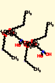 CCCCCCCC/C=C\CCCCCCCCOC(=O)C(C)(C)CC(OCCCCCCCC/C=C\CCCCCCCC)O[Si](C)(C)OCCCCCCN(CCO)CCO.CCCCCCCC/C=C\CCCCCCCCOC(=O)C(C)(C)CC(OCCCCCCCC/C=C\CCCCCCCC)O[Si](C)(C)OCCCCCCN(CCO)CCO